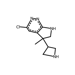 CC1(C2CNC2)CNc2nnc(Cl)cc21